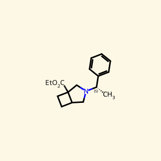 CCOC(=O)C12CCC1CN([C@@H](C)c1ccccc1)C2